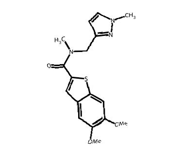 COc1cc2cc(C(=O)N(C)Cc3ccn(C)n3)sc2cc1OC